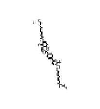 CCCCCCCCOc1ccc(-c2ccc(C(=O)Oc3ccc(OCCCCCCCC)c(F)c3F)cc2)cc1F